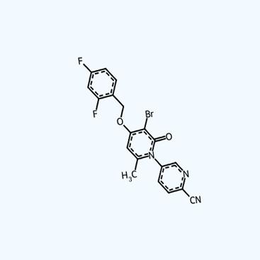 Cc1cc(OCc2ccc(F)cc2F)c(Br)c(=O)n1-c1ccc(C#N)nc1